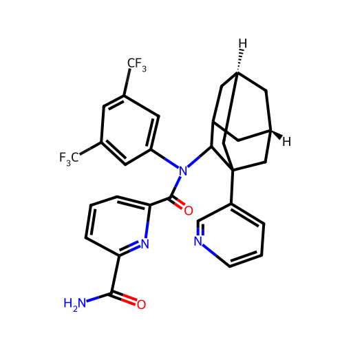 NC(=O)c1cccc(C(=O)N(c2cc(C(F)(F)F)cc(C(F)(F)F)c2)C2C3C[C@@H]4C[C@H](C3)CC2(c2cccnc2)C4)n1